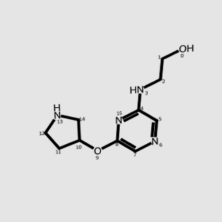 OCCNc1cncc(OC2CCNC2)n1